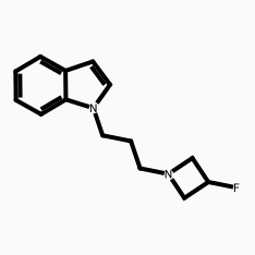 FC1CN(CCCn2ccc3ccccc32)C1